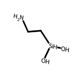 NCC[SiH](O)O